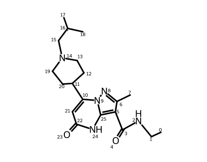 CCNC(=O)c1c(C)nn2c(C3CCN(C[C](C)C)CC3)cc(=O)[nH]c12